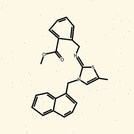 COC(=O)c1ccccc1C/N=c1\sc(C)cn1Cc1cccc2ccccc12